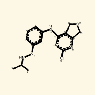 CC(C)NSc1cccc(Nc2nc(Cl)nc3c2COC3)c1